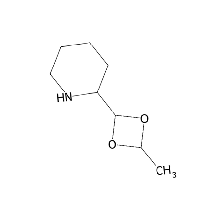 CC1OC(C2CCCCN2)O1